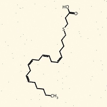 CCCCC/C=C\C/C=C\C/C=C\C/C=C\CCCCSCCC(=O)O